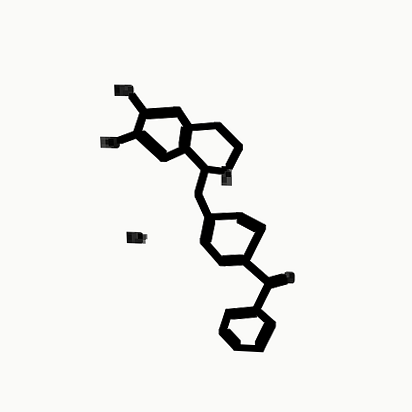 Br.O=C(c1ccccc1)c1ccc(CC2NCCc3cc(O)c(O)cc32)cc1